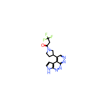 O=C(CC(F)(F)F)N1CCC(c2cnnc3nnc4[nH]ccc4c23)C1